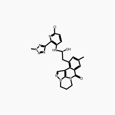 Cc1cc(C[C@H](O)Nc2ccc(Cl)nc2-c2nnn(C)n2)c2c(c1)c(=O)n1c3c2cnn3CCC1